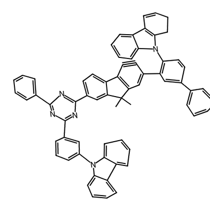 CC1(C)c2cc(-c3cc(-c4ccccc4)ccc3-n3c4c(c5ccccc53)C=CCC4)c#cc2-c2ccc(-c3nc(-c4ccccc4)nc(-c4cccc(-n5c6ccccc6c6ccccc65)c4)n3)cc21